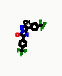 Cc1nn2c(c1-c1ccc(C(F)(F)F)cc1)N=C(c1ccc(C(F)(F)F)cc1)C2=O